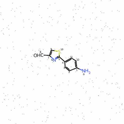 Nc1ccc(-c2nc(C=O)cs2)cc1